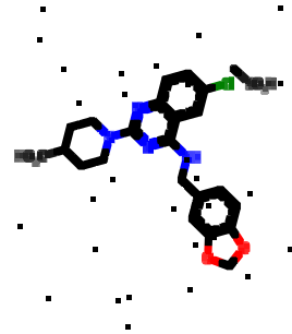 CS(=O)(=O)O.O=C(O)C1CCN(c2nc(NCc3ccc4c(c3)OCO4)c3cc(Cl)ccc3n2)CC1